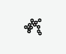 c1ccc(-c2cccc(-c3ccccc3N(c3ccc(-c4cccc(-c5ccc6ccccc6c5)c4)cc3)c3ccc(-c4ccccc4-n4c5ccccc5c5ccccc54)cc3)c2)cc1